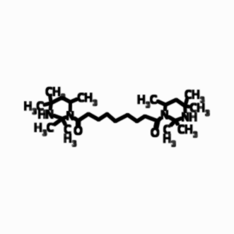 CC1CC(C)(C)NC(C)(C)N1C(=O)CCCCCCCC(=O)N1C(C)CC(C)(C)NC1(C)C